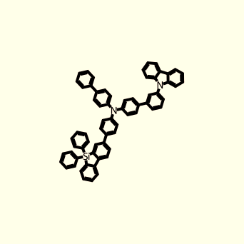 c1ccc(-c2ccc(N(c3ccc(-c4cccc(-n5c6ccccc6c6ccccc65)c4)cc3)c3ccc(-c4ccc5c(c4)[Si](c4ccccc4)(c4ccccc4)c4ccccc4-5)cc3)cc2)cc1